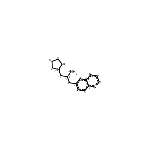 N[C@@H](Cc1ccc2ncccc2c1)CN1CCCC1